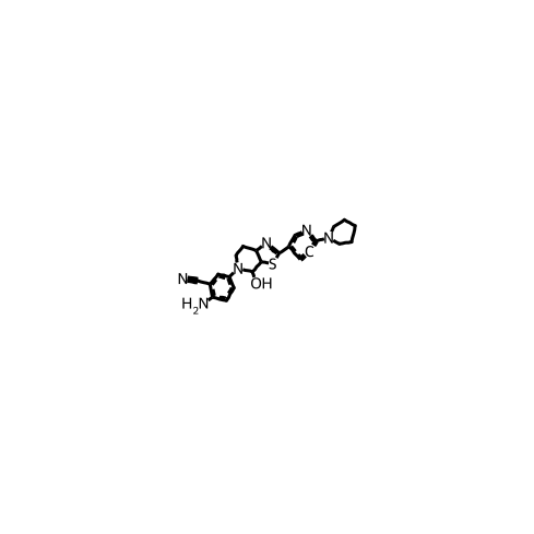 N#Cc1cc(N2CCC3N=C(c4ccc(N5CCCCC5)nc4)SC3C2O)ccc1N